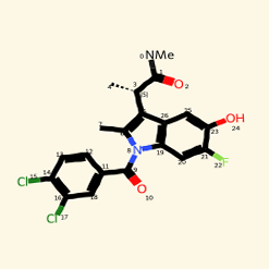 CNC(=O)[C@@H](C)c1c(C)n(C(=O)c2ccc(Cl)c(Cl)c2)c2cc(F)c(O)cc12